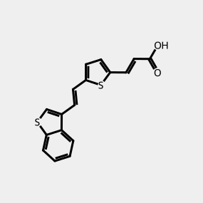 O=C(O)/C=C/c1ccc(/C=C/c2csc3ccccc23)s1